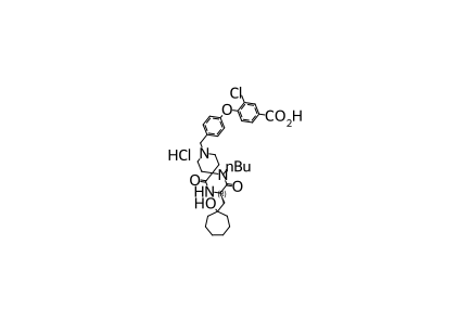 CCCCN1C(=O)[C@@H](CC2(O)CCCCCC2)NC(=O)C12CCN(Cc1ccc(Oc3ccc(C(=O)O)cc3Cl)cc1)CC2.Cl